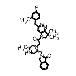 Cc1cc(F)ccc1Cc1cc2c(nn1)C(C)(C)CN2C(=O)CN1C[C@@H](C)NC[C@@H]1CN1Cc2ccccc2C1=O